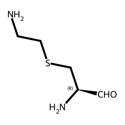 NCCSC[C@H](N)C=O